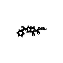 C[C@H](c1ccccc1)N1CC2CN(C(=O)OC(C)(C)C)C(=O)C2C1